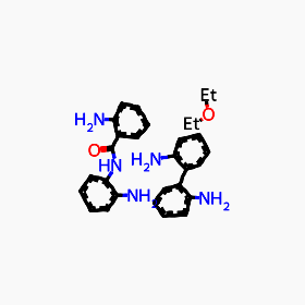 CCOCC.Nc1ccccc1-c1ccccc1N.Nc1ccccc1NC(=O)c1ccccc1N